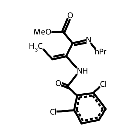 C/C=C(NC(=O)c1c(Cl)cccc1Cl)\C(=N/CCC)C(=O)OC